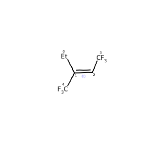 CC/C(=C\C(F)(F)F)C(F)(F)F